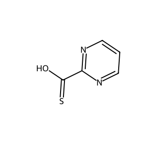 OC(=S)c1ncccn1